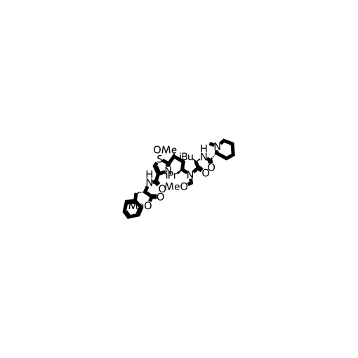 CC[C@H](C)[C@H](NC(=O)[C@H]1CCCCN1C)C(=O)N(COC)[C@H](C[C@@H](OC)c1nc(C(=O)N[C@@H](Cc2ccccc2)C(=O)OC)cs1)C(C)C